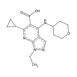 CCn1ncc2c(NC3CCOCC3)c(C(=O)O)c(C3CC3)nc21